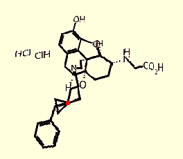 Cl.Cl.O=C(O)CN[C@@H]1CC[C@@]2(OCCCc3ccccc3)[C@H]3Cc4ccc(O)c5c4[C@@]2(CCN3CC2CC2)[C@H]1O5